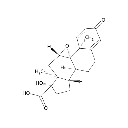 C[C@]12C=CC(=O)C=C1CC[C@H]1[C@@H]3CC[C@@](O)(C(=O)O)[C@@]3(C)C[C@@H]3O[C@@]312